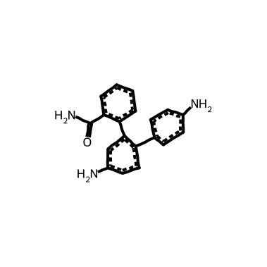 NC(=O)c1ccccc1-c1cc(N)ccc1-c1ccc(N)cc1